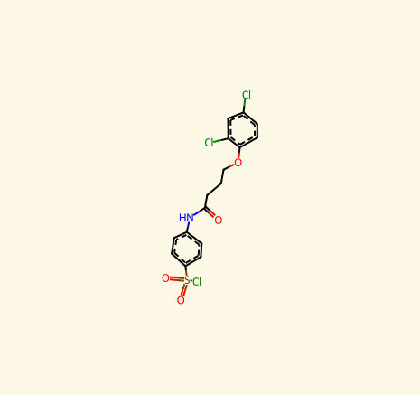 O=C(CCCOc1ccc(Cl)cc1Cl)Nc1ccc(S(=O)(=O)Cl)cc1